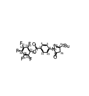 CC(C)(C)C1=NN(c2ccc(C(=O)Oc3c(F)c(F)c(F)c(F)c3F)cc2)C(=O)C1